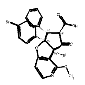 COc1nccc2c1[C@]1(O)C(=O)[C@H](C(=O)O)[C@@H](c3ccccc3)[C@]1(c1ccc(Br)cc1)O2